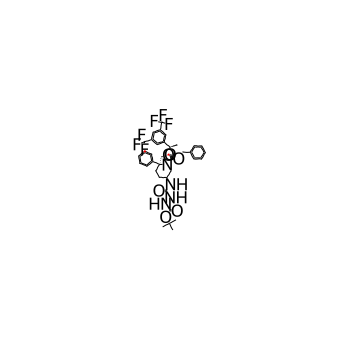 C[C@@H](OC[C@@]1(c2ccccc2)CCC(NC(=O)NNC(=O)OC(C)(C)C)CN1C(=O)OCc1ccccc1)c1cc(C(F)(F)F)cc(C(F)(F)F)c1